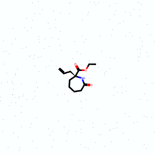 C=CC[C@]1(C(=O)OCC)CCCCC(=O)N1